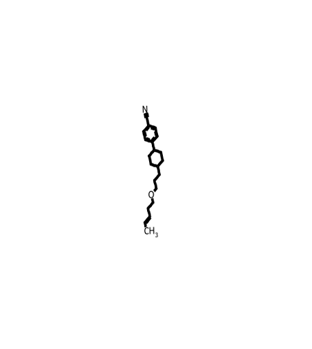 C/C=C/CCOCCCC1CCC(c2ccc(C#N)cc2)CC1